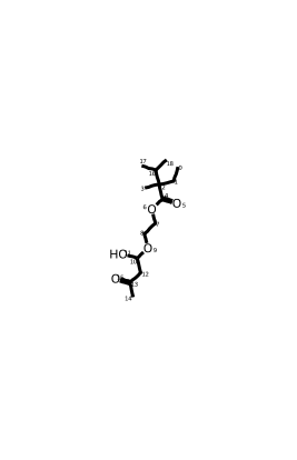 CCC(C)(C(=O)OCCOC(O)CC(C)=O)C(C)C